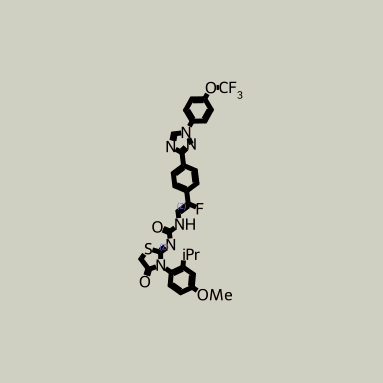 COc1ccc(N2C(=O)CS/C2=N\C(=O)N/C=C(\F)c2ccc(-c3ncn(-c4ccc(OC(F)(F)F)cc4)n3)cc2)c(C(C)C)c1